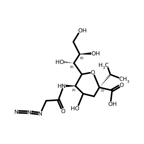 CC(C)[C@]1(C(=O)O)CC(O)[C@@H](NC(=O)CN=[N+]=[N-])C([C@H](O)[C@H](O)CO)O1